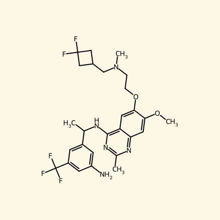 COc1cc2nc(C)nc(NC(C)c3cc(N)cc(C(F)(F)F)c3)c2cc1OCCN(C)CC1CC(F)(F)C1